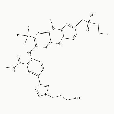 CCCP(=O)(O)Cc1ccc(Nc2ncc(C(F)(F)F)c(Nc3ccc(-c4cnn(CCCO)c4)nc3C(=O)NC)n2)c(OC)c1